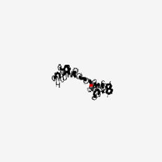 C[C@H]1C=C2C=C[C@H](C)[C@H](CC[C@@H]3C[C@@H](O[Si](C)(C)C(C)(C)C)CC(=O)O3)[C@H]2[C@@H](OC(=O)NCCOCCOCCOCC(=O)Nc2cccc3c2C(=O)N(C2CCC(=O)NC2=O)C3=O)C1